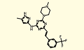 Cc1cc(Nc2nc(/C=C/c3cccc(C(F)(F)F)c3)nc(N3CCN(C)CC3)n2)n[nH]1